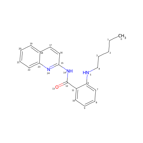 CCCCCNc1ccccc1C(=O)Nc1ccc2ccccc2n1